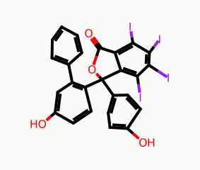 O=C1OC(c2ccc(O)cc2)(c2ccc(O)cc2-c2ccccc2)c2c(I)c(I)c(I)c(I)c21